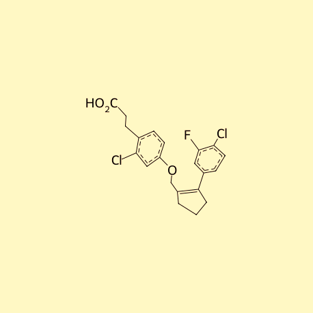 O=C(O)CCc1ccc(OCC2=C(c3ccc(Cl)c(F)c3)CCC2)cc1Cl